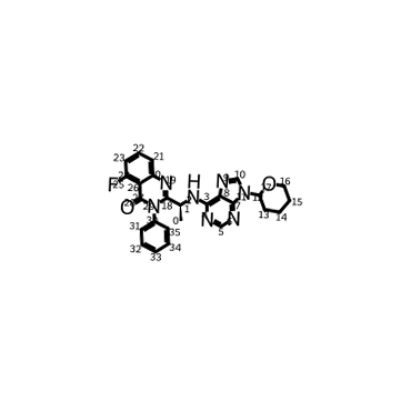 C[C@H](Nc1ncnc2c1ncn2C1CCCCO1)c1nc2cccc(F)c2c(=O)n1-c1ccccc1